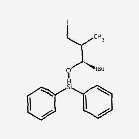 CC(CI)[C@H](O[SiH](c1ccccc1)c1ccccc1)C(C)(C)C